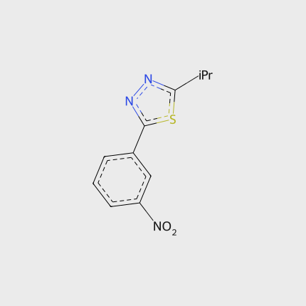 CC(C)c1nnc(-c2cccc([N+](=O)[O-])c2)s1